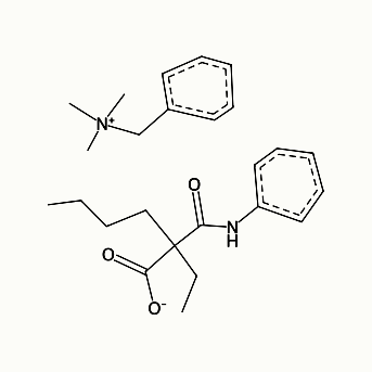 CCCCC(CC)(C(=O)[O-])C(=O)Nc1ccccc1.C[N+](C)(C)Cc1ccccc1